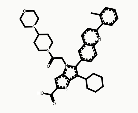 Cc1ccccc1-c1ccc2cc(-c3c(C4CCCCC4)c4sc(C(=O)O)cc4n3CC(=O)N3CCC(N4CCOCC4)CC3)ccc2n1